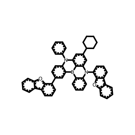 c1ccc(N2c3ccc(-c4cccc5c4oc4ccccc45)cc3B3c4ccccc4N(c4cccc5c4oc4ccccc45)c4cc(C5CCCCC5)cc2c43)cc1